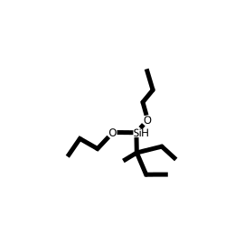 CCCO[SiH](OCCC)C(C)(CC)CC